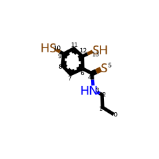 CCCNC(=S)c1ccc(S)cc1S